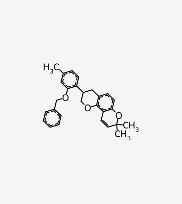 Cc1ccc(C2COc3c(ccc4c3C=CC(C)(C)O4)C2)c(OCc2ccccc2)c1